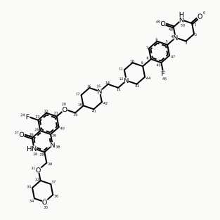 O=C1CCN(c2ccc(C3CCN(CCN4CCC(COc5cc(F)c6c(=O)[nH]c(COC7CCOCC7)nc6c5)CC4)CC3)c(F)c2)C(=O)N1